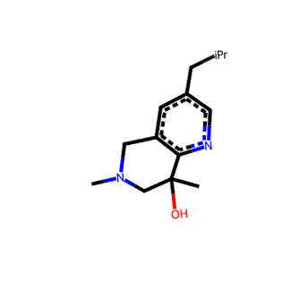 CC(C)Cc1cnc2c(c1)CN(C)CC2(C)O